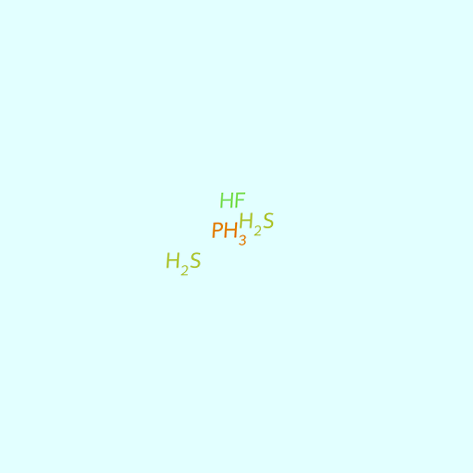 F.P.S.S